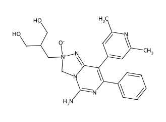 Cc1cc(C2=C(c3ccccc3)N=C(N)N3C[N+]([O-])(CC(CO)CO)N=C23)cc(C)n1